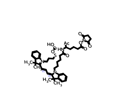 CC(=O)C(CCCC(=O)ON1C(=O)CCC1=O)NC(=O)CCCCCN1/C(=C\C=C\C2=[N+](CCCSOOO)c3ccccc3C2(C)C)C(C)(C)c2ccccc21